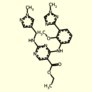 CCOC(=O)c1cnc(NCc2cnn(C)c2)nc1Nc1cccc(-c2ncn(C)n2)c1OC